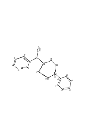 ClC(c1ccccc1)C1CCN(c2ccccc2)CC1